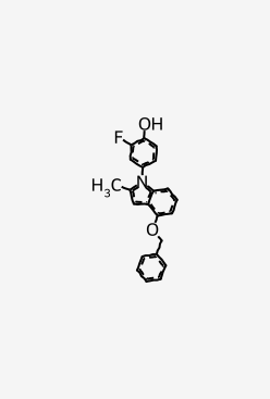 Cc1cc2c(OCc3ccccc3)cccc2n1-c1ccc(O)c(F)c1